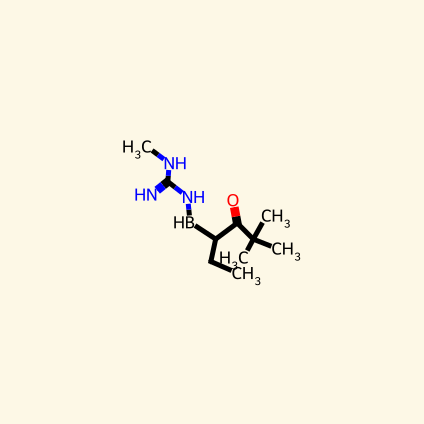 CCC(BNC(=N)NC)C(=O)C(C)(C)C